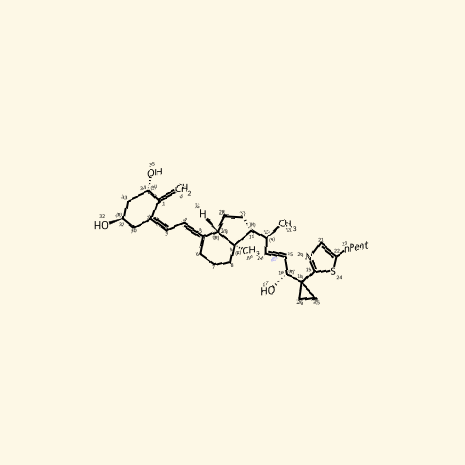 C=C1C(=CC=C2CCC[C@]3(C)[C@@H]([C@@H](C)/C=C/[C@@H](O)C4(c5ncc(CCCCC)s5)CC4)CC[C@@H]23)C[C@@H](O)C[C@@H]1O